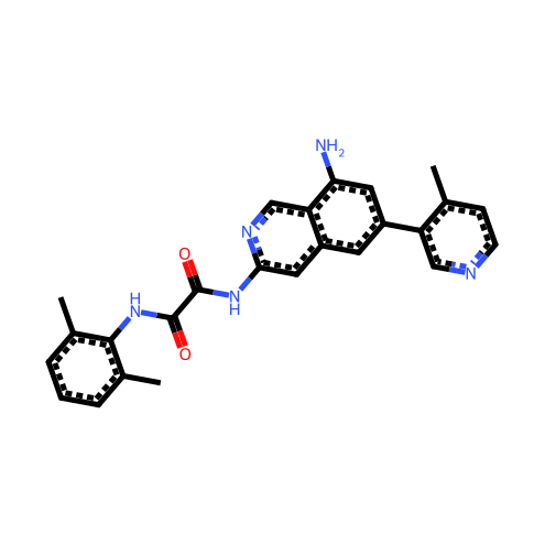 Cc1ccncc1-c1cc(N)c2cnc(NC(=O)C(=O)Nc3c(C)cccc3C)cc2c1